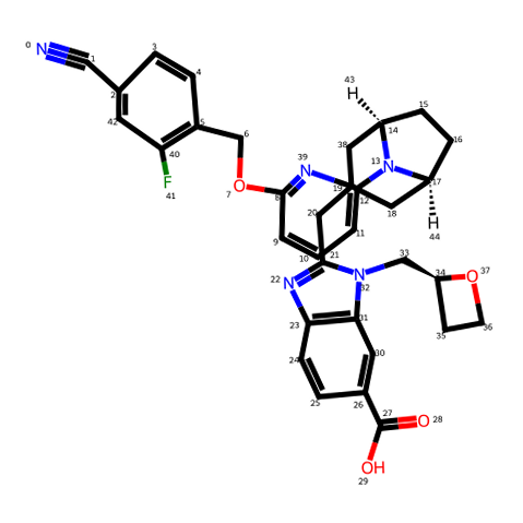 N#Cc1ccc(COc2cccc(N3[C@@H]4CC[C@H]3CC(Cc3nc5ccc(C(=O)O)cc5n3C[C@@H]3CCO3)C4)n2)c(F)c1